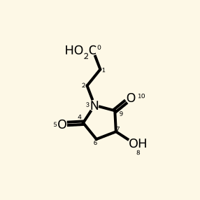 O=C(O)CCN1C(=O)CC(O)C1=O